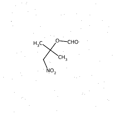 CC(C)(C[N+](=O)[O-])O[C]=O